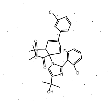 CN(C)C(=O)C1(n2cc(C(C)(C)O)nc2-c2c(F)cccc2Cl)C=CC(c2cccc(Cl)c2)=CC1S(C)(=O)=O